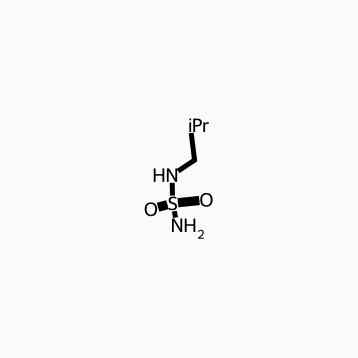 CC(C)CNS(N)(=O)=O